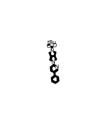 CC(C)(C)OC(=O)N1CC2=CN(c3ccc(-c4ccccc4)cn3)CC2C1